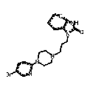 O=c1[nH]c2ccccc2n1CCCN1CCN(c2ccc(Br)cn2)CC1